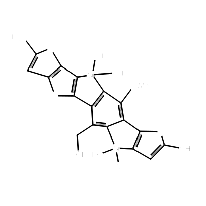 COc1c2c(c(CO)c3c1[Si](C)(C)c1c-3sc3cc(C)sc13)[Si](C)(C)c1cc(C)sc1-2